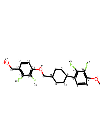 COc1ccc(C2CCC(COc3ccc(CO)c(F)c3F)CC2)c(F)c1F